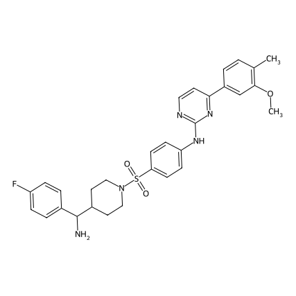 COc1cc(-c2ccnc(Nc3ccc(S(=O)(=O)N4CCC(C(N)c5ccc(F)cc5)CC4)cc3)n2)ccc1C